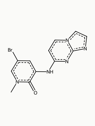 Cn1cc(Br)cc(Nc2ccn3ccnc3n2)c1=O